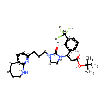 CC(C)(C)OC(=O)CC(c1cccc(C(F)(F)F)c1)N1CCN(CCCc2ccc3c(n2)NCCCC3)C1=O